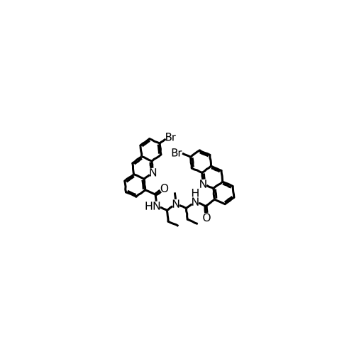 CCC(NC(=O)c1cccc2cc3ccc(Br)cc3nc12)N(C)C(CC)NC(=O)c1cccc2cc3ccc(Br)cc3nc12